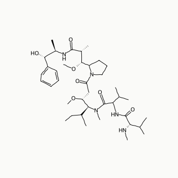 CCC(C)[C@@H]([C@@H](CC(=O)N1CCCC1[C@H](OC)[C@@H](C)C(=O)N[C@H](C)[C@@H](O)c1ccccc1)OC)N(C)C(=O)C(NC(=O)[C@@H](NC)C(C)C)C(C)C